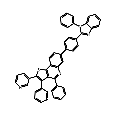 c1ccc(-c2nc3cc(-c4ccc(-c5nc6ccccc6n5-c5ccccc5)cc4)ccc3c3sc(-c4cccnc4)c(-c4cccnc4)c23)cc1